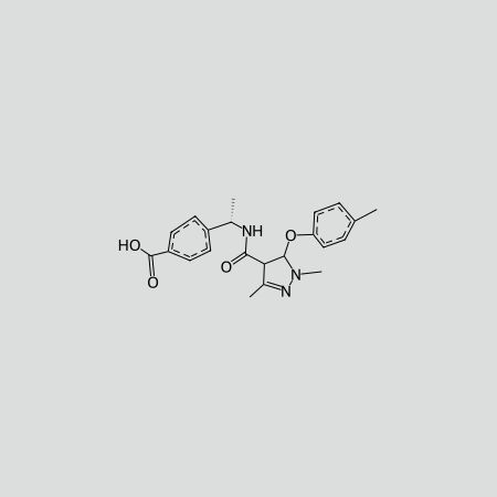 CC1=NN(C)C(Oc2ccc(C)cc2)C1C(=O)N[C@@H](C)c1ccc(C(=O)O)cc1